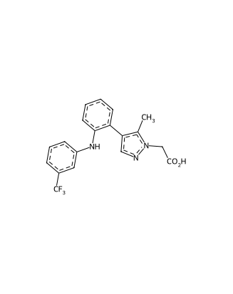 Cc1c(-c2ccccc2Nc2cccc(C(F)(F)F)c2)cnn1CC(=O)O